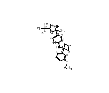 COc1cccc(C2(Nc3ncc(C4(C)NN=C(C(F)(F)F)O4)cn3)CCC2)c1